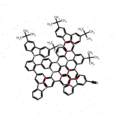 CC(C)(C)c1cc(-c2ccccc2)c(N2c3cc(-n4c5ccc(C(C)(C)C)cc5c5cc(C(C)(C)C)ccc54)ccc3B3c4ccc(-c5c(-c6ccc7sc8ccccc8c7c6)cccc5-n5c6ccc(C(C)(C)C)cc6c6cc(C(C)(C)C)ccc65)cc4N(c4ccccc4-c4ccccc4)c4cc(-n5c6ccccc6c6cc(C#N)ccc65)cc2c43)c(-c2ccccc2)c1